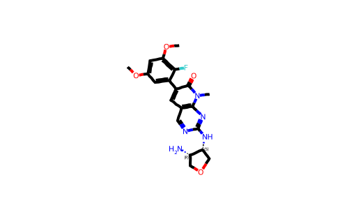 COc1cc(OC)c(F)c(-c2cc3cnc(N[C@@H]4COC[C@@H]4N)nc3n(C)c2=O)c1